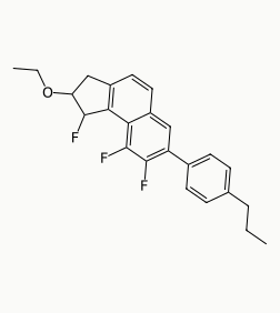 CCCc1ccc(-c2cc3ccc4c(c3c(F)c2F)C(F)C(OCC)C4)cc1